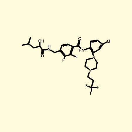 CC(C)CC(O)C(=O)NCc1ccc(C(=O)Nc2ccc(Cl)cc2N2CCN(CCC(F)(F)F)CC2)c(F)c1F